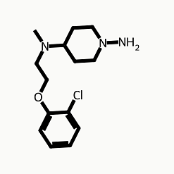 CN(CCOc1ccccc1Cl)C1CCN(N)CC1